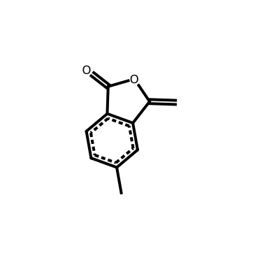 C=C1OC(=O)c2ccc(C)cc21